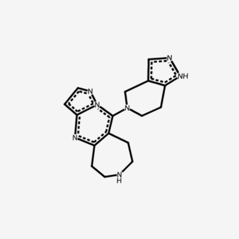 c1cc2nc3c(c(N4CCc5[nH]ncc5C4)n2n1)CCNCC3